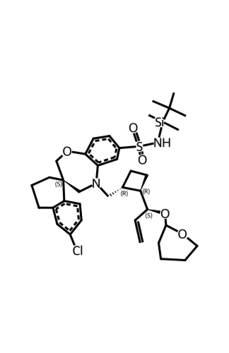 C=C[C@H](OC1CCCCO1)[C@@H]1CC[C@H]1CN1C[C@@]2(CCCc3cc(Cl)ccc32)COc2ccc(S(=O)(=O)N[Si](C)(C)C(C)(C)C)cc21